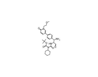 COCCn1cc(-c2ccc(C(N)C(C=O)NC(=O)N(C(=O)OC(C)(C)C)C3CCCCC3)cc2)ccc1=O